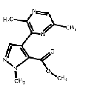 COC(=O)c1c(-c2nc(C)cnc2C)cnn1C